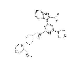 COC[C@@H]1COCCN1[C@H]1CC[C@@H](CNc2nc(N3CCOCC3)cc(-n3c(C(F)F)nc4ccccc43)n2)CC1